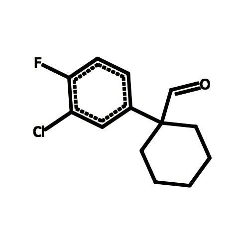 O=CC1(c2ccc(F)c(Cl)c2)CCCCC1